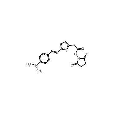 CN(C)c1ccc(N=Nc2ccc(CC(=O)ON3C(=O)CCC3=O)s2)cc1